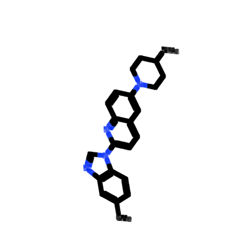 COc1ccc2c(c1)ncn2-c1ccc2cc(N3CCC(NC(C)=O)CC3)ccc2n1